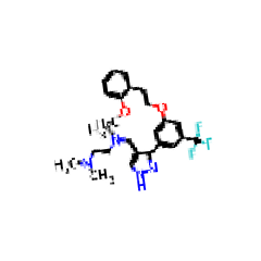 COc1ccccc1CCOc1cc(-c2n[nH]cc2CN(C)CCN(C)C)cc(C(F)(F)F)c1